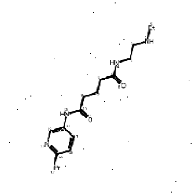 CCNCCNC(=O)CCCC(=O)Nc1ccc(C(C)C)nc1